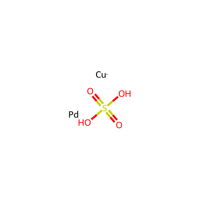 O=S(=O)(O)O.[Cu].[Pd]